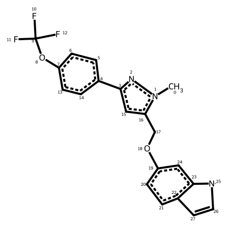 Cn1nc(-c2ccc(OC(F)(F)F)cc2)cc1COc1ccc2c(c1)[N]C=C2